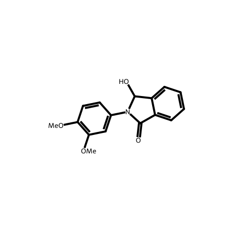 COc1ccc(N2C(=O)c3ccccc3C2O)cc1OC